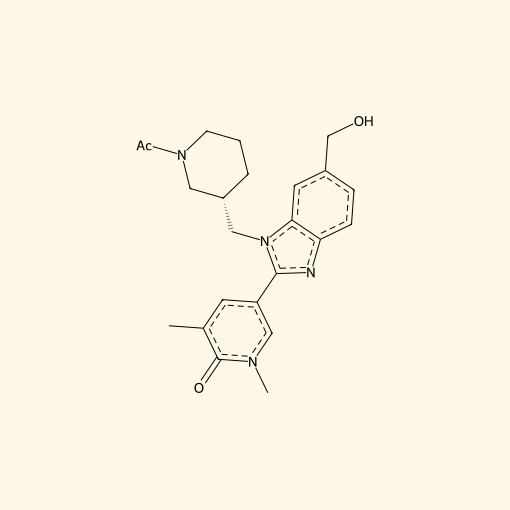 CC(=O)N1CCC[C@H](Cn2c(-c3cc(C)c(=O)n(C)c3)nc3ccc(CO)cc32)C1